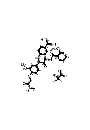 CCOc1cc(C(Nc2ccc(C(=N)N)cc2)C(=O)NNC(=O)c2cccnc2OC)ccc1OCC(=O)N(C)C.O=C(O)C(F)(F)F